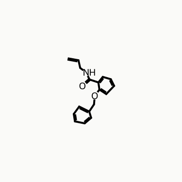 C=CCNC(=O)c1ccccc1OCc1ccccc1